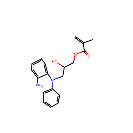 C=C(C)C(=O)OCC(O)CN(c1ccccc1)c1ccccc1N